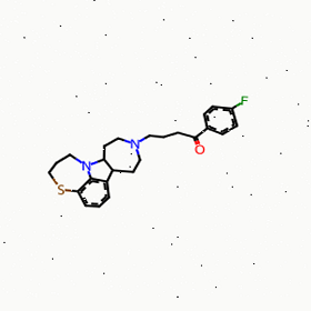 O=C(CCCN1CCC2c3cccc4c3N(CCCS4)C2CC1)c1ccc(F)cc1